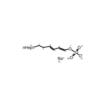 CCCCCCCCCC=CC=COS(=O)(=O)[O-].[Na+]